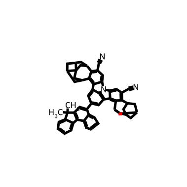 CC1(C)c2ccccc2-c2c1cc(-c1cc3c4c5c(c(C#N)cc4n4c6cc(C#N)c7c(c6c(c1)c34)C1CC3CC4CC7CC43C1)C1CC3CC(C1)CC5C3)c1ccccc21